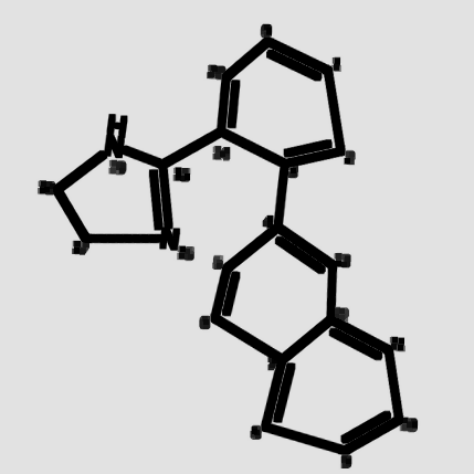 c1ccc(-c2ccc3ccccc3c2)c(C2=NCCN2)c1